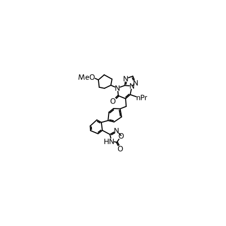 CCCc1c(Cc2ccc(-c3ccccc3-c3noc(=O)[nH]3)cc2)c(=O)n(C2CCC(OC)CC2)c2ncnn12